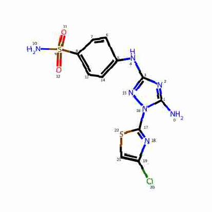 Nc1nc(Nc2ccc(S(N)(=O)=O)cc2)nn1-c1nc(Cl)cs1